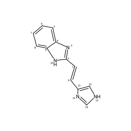 C(=C\c1nc2ccccc2[nH]1)/c1c[nH]cn1